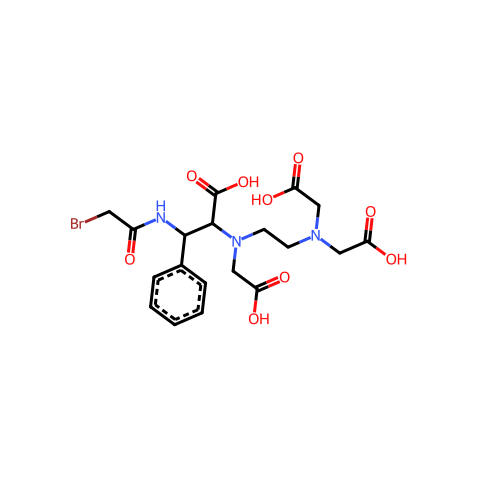 O=C(O)CN(CCN(CC(=O)O)C(C(=O)O)C(NC(=O)CBr)c1ccccc1)CC(=O)O